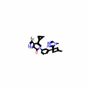 CC(=O)c1c[nH]c2c(=O)n(-c3cccc(C4(c5nncn5C)CC(C)C4)c3)cc(C3CC3)c12